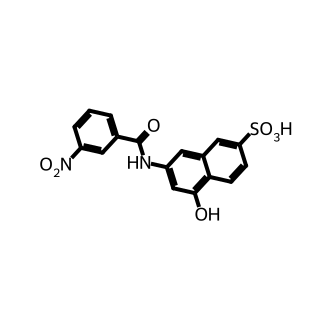 O=C(Nc1cc(O)c2ccc(S(=O)(=O)O)cc2c1)c1cccc([N+](=O)[O-])c1